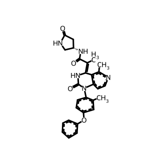 C/C(C(=O)N[C@@H]1CNC(=O)C1)=C1/NC(=O)N(c2ccc(Oc3ccccc3)cc2C)c2ccnc(C)c21